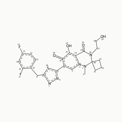 CN1n2cc(-c3nnc(Cc4ccc(F)cc4F)s3)c(=O)c(O)c2C(=O)N(CCO)C12CCC2